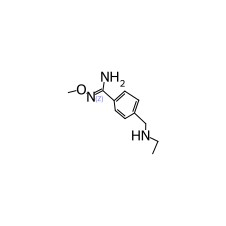 CCNCc1ccc(/C(N)=N/OC)cc1